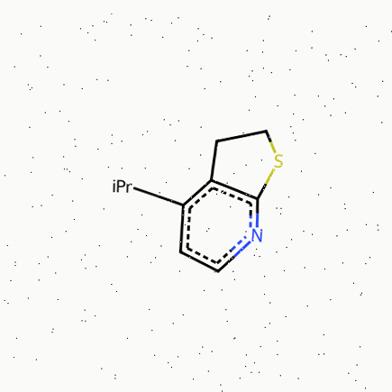 CC(C)c1ccnc2c1CCS2